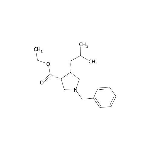 CCOC(=O)[C@H]1CN(Cc2ccccc2)C[C@H]1CC(C)C